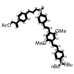 C=C(COC(C)=O)c1ccc(CCCN(C)c2ccc(/C=C/c3cc(OC)c(/C=C/c4ccc(N(CCCC)CCCC)cc4)cc3OC)cc2)cc1